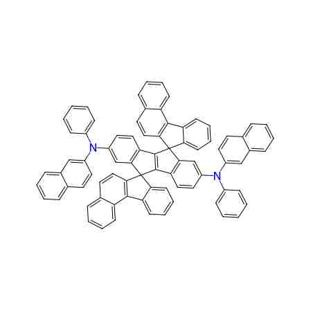 c1ccc(N(c2ccc3c(c2)C2(C4=C3C3(c5cc(N(c6ccccc6)c6ccc7ccccc7c6)ccc54)c4ccccc4-c4c3ccc3ccccc43)c3ccccc3-c3c2ccc2ccccc32)c2ccc3ccccc3c2)cc1